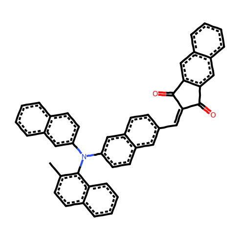 Cc1ccc2ccccc2c1N(c1ccc2ccccc2c1)c1ccc2cc(C=C3C(=O)c4cc5ccccc5cc4C3=O)ccc2c1